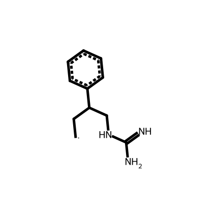 [CH2]CC(CNC(=N)N)c1ccccc1